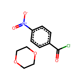 C1COCCO1.O=C(Cl)c1ccc([N+](=O)[O-])cc1